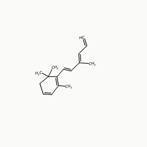 [CH]=CC=C(C)C=CC1=C(C)C=CCC1(C)C